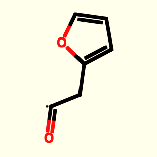 O=[C]Cc1ccco1